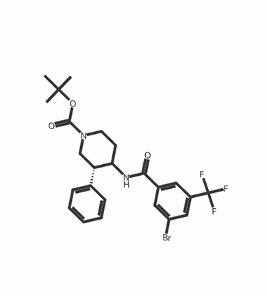 CC(C)(C)OC(=O)N1CCC(NC(=O)c2cc(Br)cc(C(F)(F)F)c2)[C@H](c2ccccc2)C1